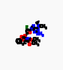 CC(C)OC(=O)[C@H](C)N[P@](=O)(OC[C@@H]1C[C@H](F)[C@H](n2cnc3c(N(C)C4CC4)nc(N)nc32)O1)Oc1ccccc1